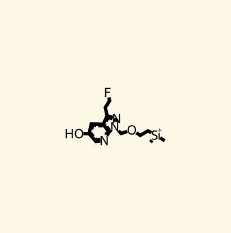 C[Si](C)(C)CCOCn1nc(CCF)c2cc(O)cnc21